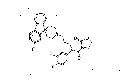 O=C1OCCN1C(=O)N(CCCN1CCC2(CC1)c1ccccc1-c1ccc(F)cc12)c1ccc(F)c(F)c1